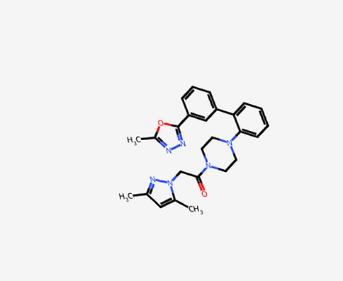 Cc1cc(C)n(CC(=O)N2CCN(c3ccccc3-c3cccc(-c4nnc(C)o4)c3)CC2)n1